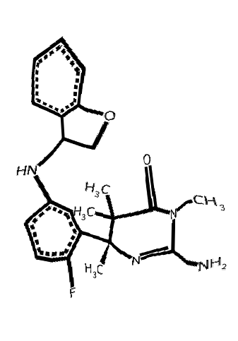 CN1C(=O)C(C)(C)[C@@](C)(c2cc(NC3COc4ccccc43)ccc2F)N=C1N